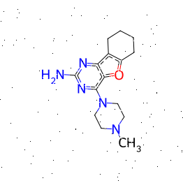 CN1CCN(c2nc(N)nc3c4c(oc23)CCCC4)CC1